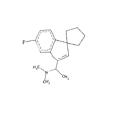 CC(C1=CC2(CCCC2)c2ccc(F)cc21)N(C)C